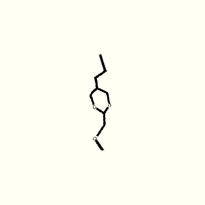 CCCC1COC(COC)OC1